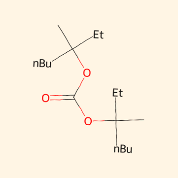 CCCCC(C)(CC)OC(=O)OC(C)(CC)CCCC